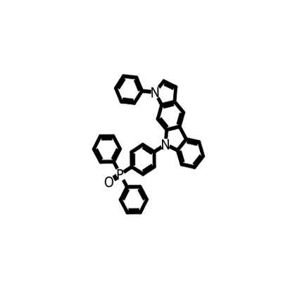 O=P(c1ccccc1)(c1ccccc1)c1ccc(-n2c3ccccc3c3cc4ccn(-c5ccccc5)c4cc32)cc1